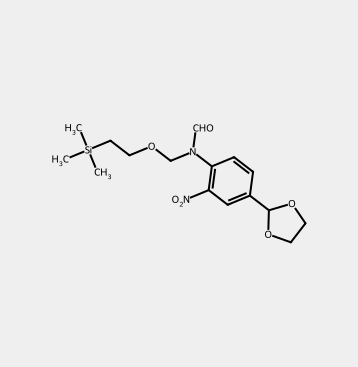 C[Si](C)(C)CCOCN(C=O)c1ccc(C2OCCO2)cc1[N+](=O)[O-]